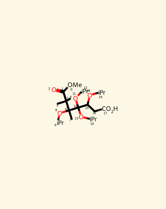 COC(=O)C(C)(C)C(C)(OC(C)C)C(OC(C)C)(OC(C)C)C(CC(=O)O)OC(C)C